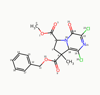 COC(=O)C1CC(C)(C(=O)OCc2ccccc2)c2c(Cl)nc(Cl)c(=O)n21